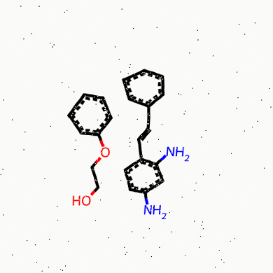 Nc1ccc(C=Cc2ccccc2)c(N)c1.OCCOc1ccccc1